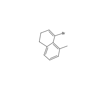 Cc1cccc2c1C(Br)=CCC2